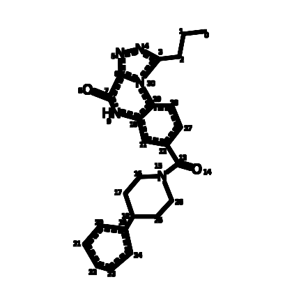 CCCc1nnc2c(=O)[nH]c3cc(C(=O)N4CCC(c5ccccc5)CC4)ccc3n12